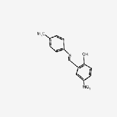 Cc1ccc(/N=C/c2cc([N+](=O)[O-])ccc2O)cc1